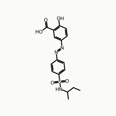 CCC(C)NS(=O)(=O)c1ccc(N=Nc2ccc(O)c(C(=O)O)c2)cc1